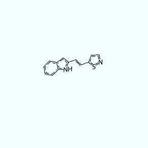 C(=Cc1ccns1)c1cc2ccccc2[nH]1